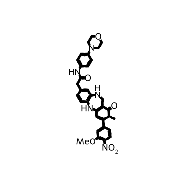 COc1cc(C2=CC3=C(CNc4cc(CC(=O)Nc5ccc(N6CCOCC6)cc5)ccc4N3)C(=O)C2C)ccc1[N+](=O)[O-]